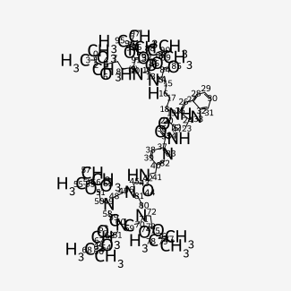 CC(C)(C)OC(=O)CC[C@H](NC(=O)N[C@@H](CCCCNC(=O)[C@H](Cc1ccc2ccccc2n1)NC(=O)c1ccc(CNC(=O)CN2CCN(CC(=O)OC(C)(C)C)CCN(CC(=O)OC(C)(C)C)CCN(CC(=O)OC(C)(C)C)CC2)cn1)C(=O)OC(C)(C)C)C(=O)OC(C)(C)C